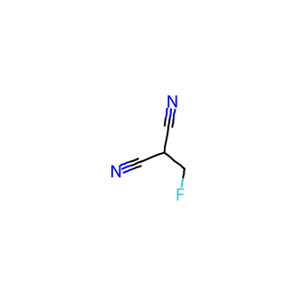 N#CC(C#N)CF